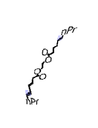 CCC/C=C/CCCC(=O)OCCOC(=O)CCC/C=C/CCC